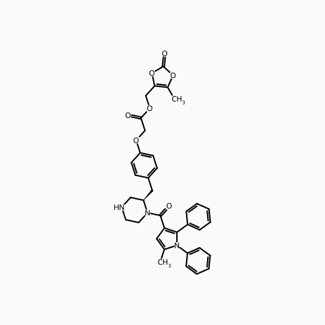 Cc1oc(=O)oc1COC(=O)COc1ccc(C[C@@H]2CNCCN2C(=O)c2cc(C)n(-c3ccccc3)c2-c2ccccc2)cc1